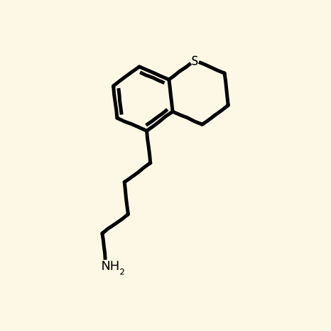 NCCCCc1cccc2c1CCCS2